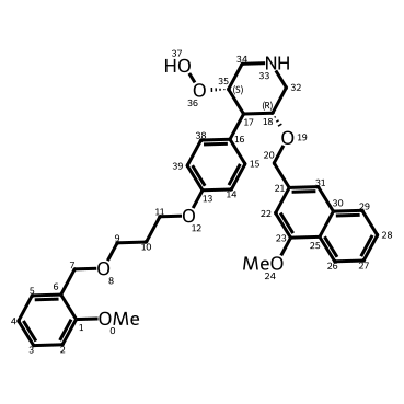 COc1ccccc1COCCCOc1ccc(C2[C@@H](OCc3cc(OC)c4ccccc4c3)CNC[C@H]2OO)cc1